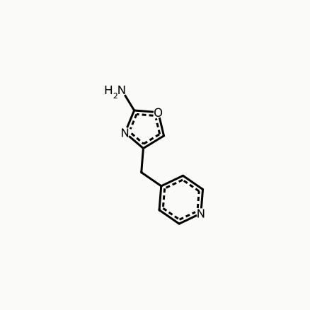 Nc1nc(Cc2ccncc2)co1